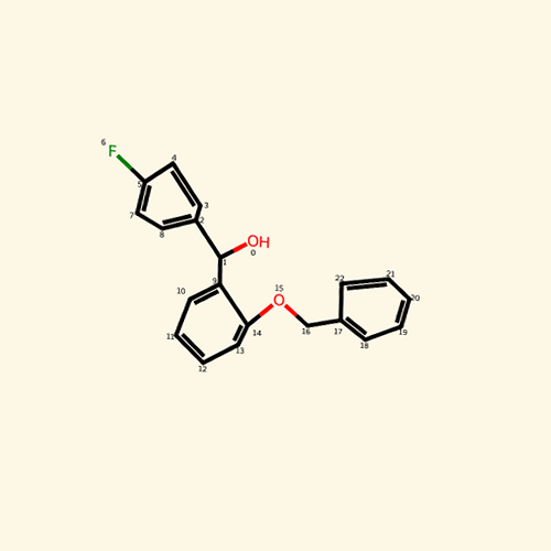 OC(c1ccc(F)cc1)c1ccccc1OCc1ccccc1